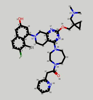 CCc1c(F)ccc2cc(O)cc(N3CCc4c(nc(OCC5(CN(C)C)CC5)nc4N4CCCN(C(=O)Cc5ccccn5)CC4)C3)c12